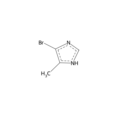 Cc1[nH]cnc1Br